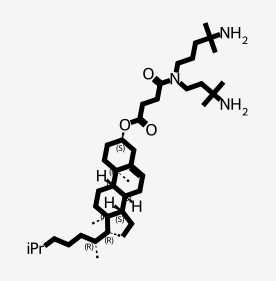 CC(C)CCC[C@@H](C)[C@H]1CC[C@H]2[C@@H]3CC=C4C[C@@H](OC(=O)CCC(=O)N(CCCC(C)(C)N)CCC(C)(C)N)CC[C@]4(C)[C@H]3CC[C@]12C